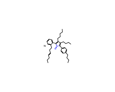 CCCC=CCCc1ccccc1C1=C(CCCCC)C(CCCC)=C(c2ccc(CCCC)cc2)[N+]1=[N-].[Ni]